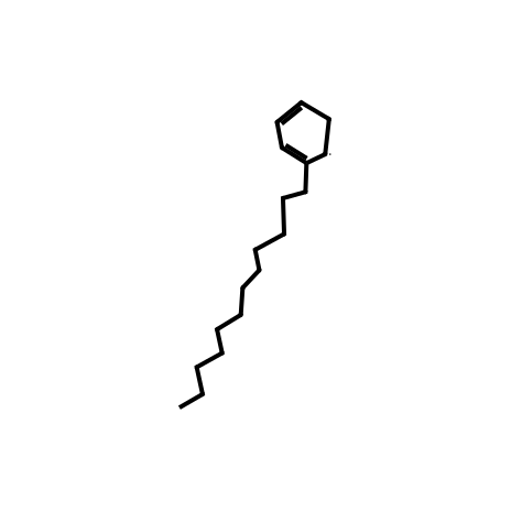 CCCCCCCCCCCCC1=CC=CC[CH]1